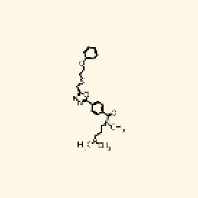 CN(C)CCCN(C)C(=O)c1ccc(-c2nnc(CSCCOc3ccccc3)o2)cc1